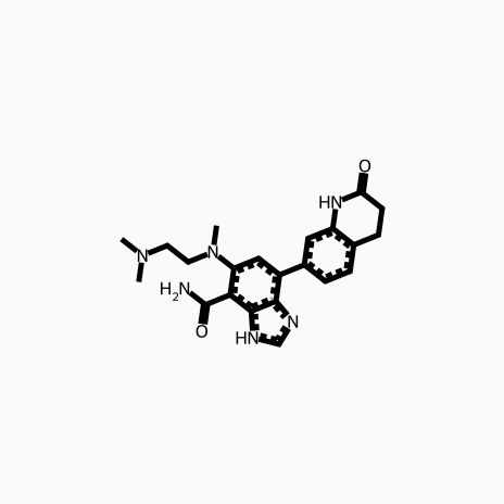 CN(C)CCN(C)c1cc(-c2ccc3c(c2)NC(=O)CC3)c2nc[nH]c2c1C(N)=O